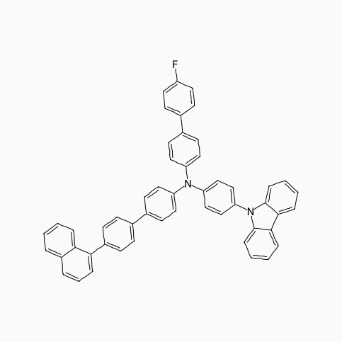 Fc1ccc(-c2ccc(N(c3ccc(-c4ccc(-c5cccc6ccccc56)cc4)cc3)c3ccc(-n4c5ccccc5c5ccccc54)cc3)cc2)cc1